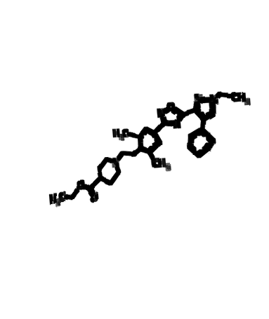 CCOC(=O)C1CCN(CCc2c(C)cc(-c3noc(-c4nn(CC)cc4-c4ccccc4)n3)cc2C)CC1